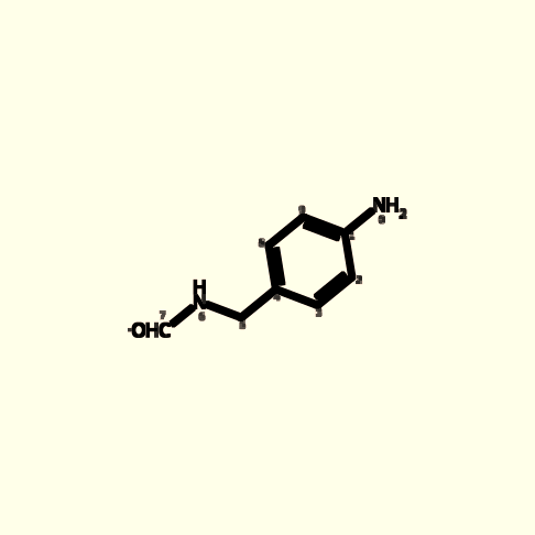 Nc1ccc(CN[C]=O)cc1